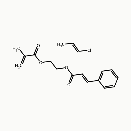 C/C=C/Cl.C=C(C)C(=O)OCCOC(=O)/C=C/c1ccccc1